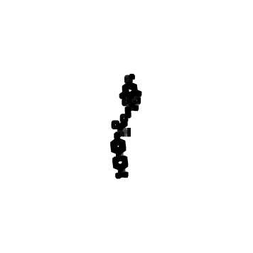 COC1=CC(C)C(S(=O)(=O)N(C)CCOCC(=O)NCc2ccc(N3CCC(N(C)C)CC3)cc2)C(C)=C1